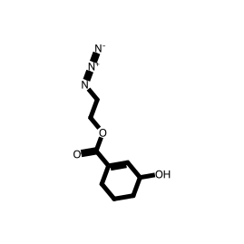 [N-]=[N+]=NCCOC(=O)C1=CC(O)CCC1